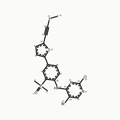 CP(C)(=O)c1cc(-c2ccc(C#CSI)s2)ccc1Nc1nc(Cl)ncc1Br